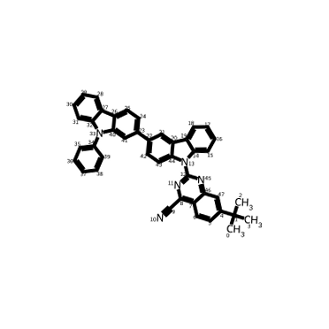 CC(C)(C)c1ccc2c(C#N)nc(-n3c4ccccc4c4cc(-c5ccc6c7ccccc7n(-c7ccccc7)c6c5)ccc43)nc2c1